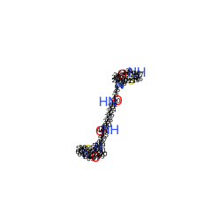 O=C(CCCCCN1C=CC2=C3CSc4ccccc4NCCC3Oc3cccc1c32)NCCCCCCCCCCNC(=O)CCCCCN1C=CC2=C3c4sc5ccccc5[n+]4CCC3Oc3cccc1c32